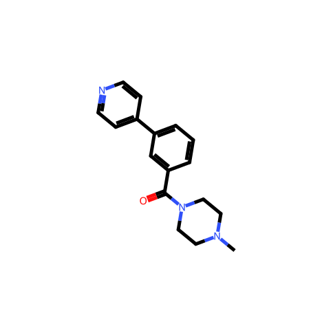 CN1CCN(C(=O)c2cccc(-c3ccncc3)c2)CC1